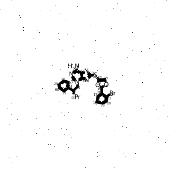 CC(C)C(Cn1cnc(N)c2nc(SC3=COC(c4ccccc4Br)O3)nc1-2)c1ccccc1